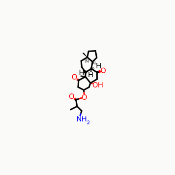 CC(CN)C(=O)OC1CC(=O)[C@]2(C)[C@@H]3CC[C@]4(C)CCC[C@H]4[C@@H]3C(=O)CC2(O)C1